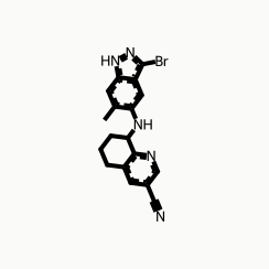 Cc1cc2[nH]nc(Br)c2cc1NC1CCCc2cc(C#N)cnc21